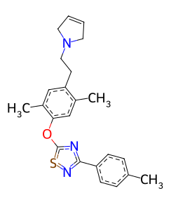 Cc1ccc(-c2nsc(Oc3cc(C)c(CCN4CC=CC4)cc3C)n2)cc1